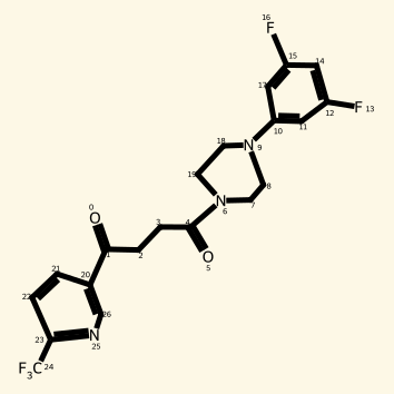 O=C(CCC(=O)N1CCN(c2cc(F)cc(F)c2)CC1)c1ccc(C(F)(F)F)nc1